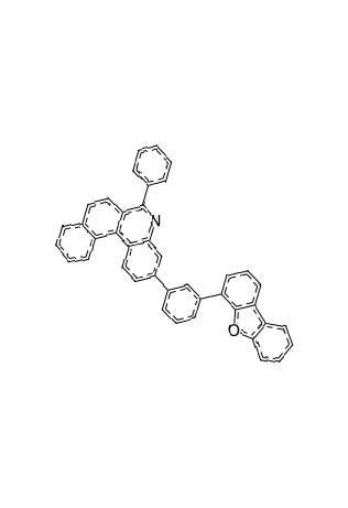 c1ccc(-c2nc3cc(-c4cccc(-c5cccc6c5oc5ccccc56)c4)ccc3c3c2ccc2ccccc23)cc1